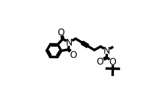 CN(CCC#CCN1C(=O)c2ccccc2C1=O)C(=O)OC(C)(C)C